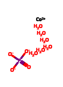 O.O.O.O.O.O.O=P([O-])([O-])[O-].[Co+3]